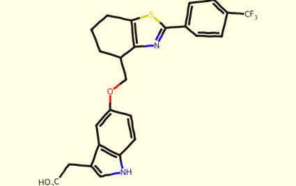 O=C(O)Cc1c[nH]c2ccc(OCC3CCCc4sc(-c5ccc(C(F)(F)F)cc5)nc43)cc12